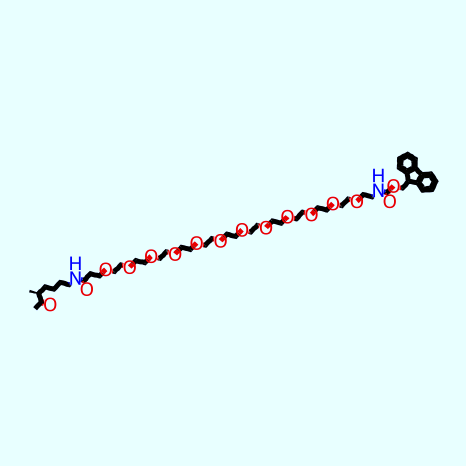 CC(=O)[C@@H](C)CCCCNC(=O)CCOCCOCCOCCOCCOCCOCCOCCOCCOCCOCCOCCOCCNC(=O)OCC1c2ccccc2-c2ccccc21